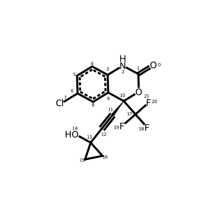 O=C1Nc2ccc(Cl)cc2[C@@](C#CC2(O)CC2)(C(F)(F)F)O1